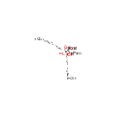 CCCCCCCCC=CCCCCCCCC(=O)C(O)(C(=O)CCCCCCCC=CCCCCCCCC)C(O)(CCCCC)C(O)CCCCC